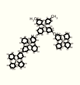 Cc1ccc([B-](c2ccc(C)cc2)(c2ccc(C)cc2)c2ccc(C)cc2)cc1.c1ccc([B-](c2ccccc2)(c2ccccc2)c2ccccc2)cc1.c1ccc([P+](c2ccccc2)(c2ccccc2)c2ccccc2)cc1.c1ccc([P+](c2ccccc2)(c2ccccc2)c2ccccc2)cc1